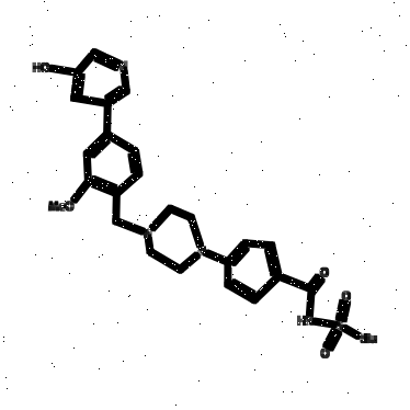 COc1cc(-c2cncc(O)c2)ccc1CN1CCN(c2ccc(C(=O)NS(=O)(=O)C(C)(C)C)cc2)CC1